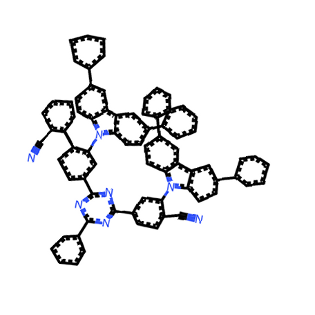 N#Cc1ccccc1-c1ccc(-c2nc(-c3ccccc3)nc(-c3ccc(C#N)c(-n4c5ccc(-c6ccccc6)cc5c5cc(-c6ccccc6)ccc54)c3)n2)cc1-n1c2ccc(-c3ccccc3)cc2c2cc(-c3ccccc3)ccc21